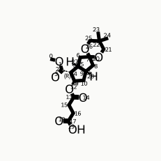 COC(=O)[C@@H]1[C@@H]2CC3(C[C@@H]2C[C@H]1OC(=O)CCC(=O)O)OCC(C)(C)CO3